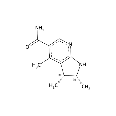 Cc1c(C(N)=O)cnc2c1[C@@H](C)[C@@H](C)N2